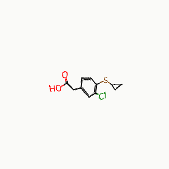 O=C(O)Cc1ccc(SC2CC2)c(Cl)c1